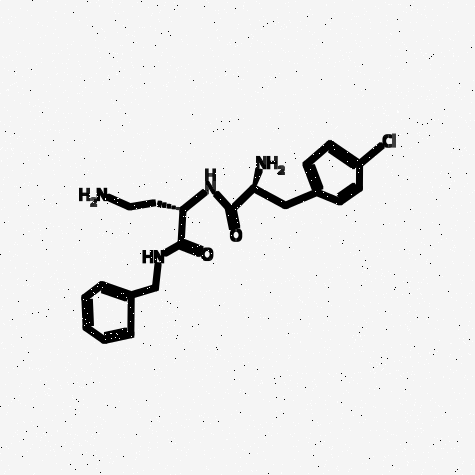 NCC[C@H](NC(=O)[C@@H](N)Cc1ccc(Cl)cc1)C(=O)NCc1ccccc1